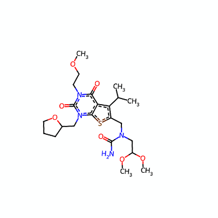 COCCn1c(=O)c2c(C(C)C)c(CN(CC(OC)OC)C(N)=O)sc2n(CC2CCCO2)c1=O